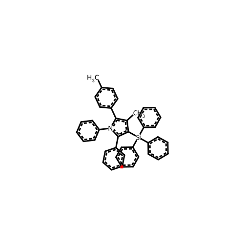 Cc1ccc(-c2c(C)c([Si](c3ccccc3)(c3ccccc3)c3ccccc3)c(-c3ccccc3)n2-c2ccccc2)cc1